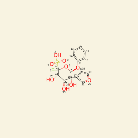 O=S(=O)(O)C1(F)O[C@@H](Oc2ccccc2)[C@@](O)(c2ccoc2)[C@@H](O)[C@@H]1O